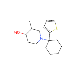 CC1CN(C2(c3cccs3)CCCCC2)CCC1O